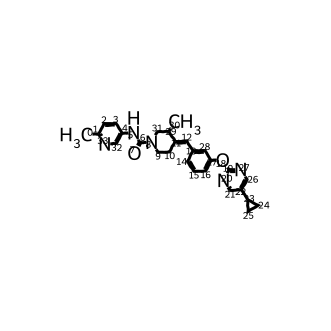 Cc1ccc(NC(=O)N2CC/C(=C\c3cccc(Oc4ncc(C5CC5)cn4)c3)C(C)C2)cn1